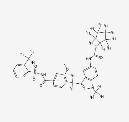 [2H]C([2H])([2H])c1ccccc1S(=O)(=O)NC(=O)c1ccc(C([2H])([2H])c2cn(C([2H])([2H])[2H])c3ccc(NC(=O)OC4([2H])C([2H])([2H])C([2H])([2H])C([2H])([2H])C4([2H])[2H])cc23)c(OC)c1